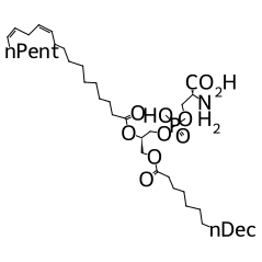 CCCCC/C=C\C/C=C\CCCCCCCCCC(=O)O[C@H](COC(=O)CCCCCCCCCCCCCCCC)COP(=O)(O)OC[C@H](N)C(=O)O